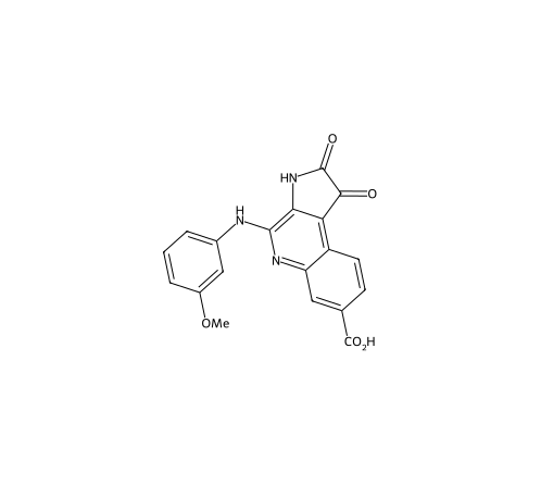 COc1cccc(Nc2nc3cc(C(=O)O)ccc3c3c2NC(=O)C3=O)c1